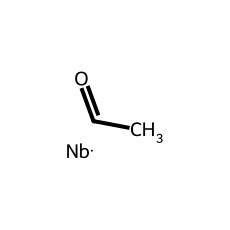 CC=O.[Nb]